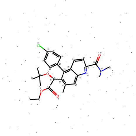 CCOC(=O)[C@@H](OC(C)(C)C)c1c(C)cc2nc(C(=O)N(C)C)ccc2c1-c1ccc(Cl)cc1